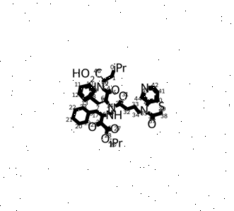 CC(C)C[C@H](NC(=O)[C@H](Cc1ccccc1)N(NC(CC1CCCCC1)C(=O)C(=O)OC(C)C)C(=O)CCCN1C(=O)CSc2ccncc21)C(=O)O